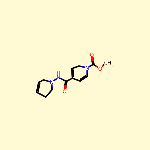 COC(=O)N1C=CC(C(=O)NN2CC=CCC2)=CC1